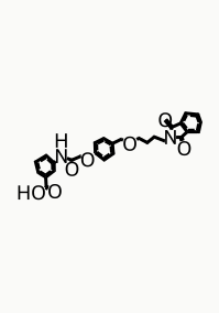 O=C(COc1ccc(COCCCCN2C(=O)c3ccccc3C2=O)cc1)Nc1cccc(C(=O)O)c1